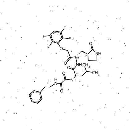 CC(C)C[C@H](NC(=O)C(=O)NCCc1ccccc1)C(=O)N[C@@H](C[C@@H]1CCNC1=O)C(=O)COc1c(F)c(F)cc(F)c1F